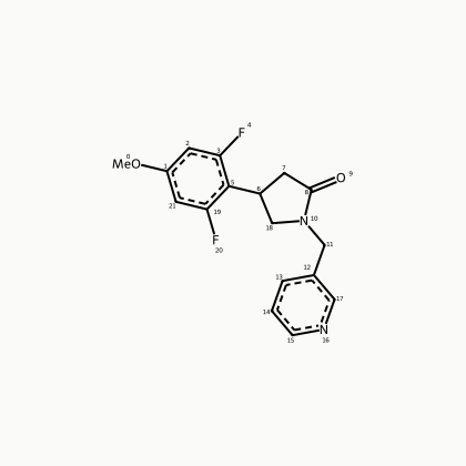 COc1cc(F)c(C2CC(=O)N(Cc3cccnc3)C2)c(F)c1